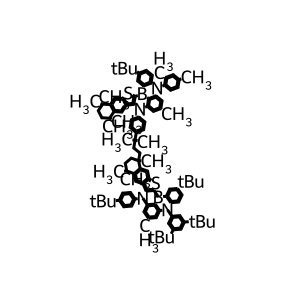 Cc1ccc(N2c3ccc(C(C)(C)C)cc3B3c4sc5cc6c(cc5c4N(c4ccc(C(C)(C)CCC5(C)CCC(C)(C)c7cc8c9c(sc8cc75)B5c7cc(C(C)(C)C)ccc7N(c7cc(C(C)(C)C)cc(C(C)(C)C)c7)c7cc(C)cc(c75)N9c5ccc(C(C)(C)C)cc5)cc4)c4cc(C)cc2c43)C(C)(C)CCC6(C)C)c(C)c1